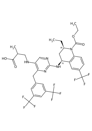 CCOC(=O)N1c2ccc(C(F)(F)F)cc2[C@@H](Nc2ncc(NCC(C)C(=O)O)c(Cc3cc(C(F)(F)F)cc(C(F)(F)F)c3)n2)C[C@H]1CC